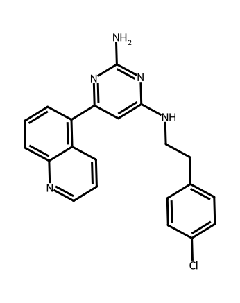 Nc1nc(NCCc2ccc(Cl)cc2)cc(-c2cccc3ncccc23)n1